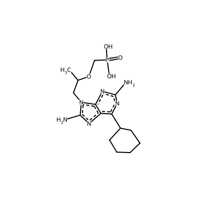 CC(Cn1c(N)nc2c(C3CCCCC3)nc(N)nc21)OCP(=O)(O)O